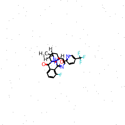 C[C@@H]1[C@@H]2CC[C@@H]([C@H](Oc3ccc(C(F)(F)F)cn3)C2)N1C(=O)c1cccc(F)c1-c1ncccn1